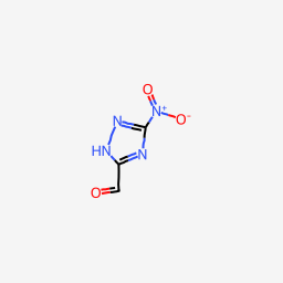 O=Cc1nc([N+](=O)[O-])n[nH]1